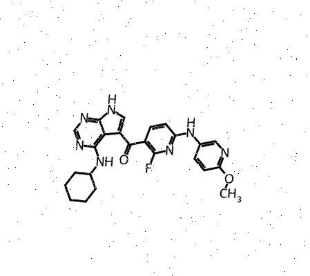 COc1ccc(Nc2ccc(C(=O)c3c[nH]c4ncnc(NC5CCCCC5)c34)c(F)n2)cn1